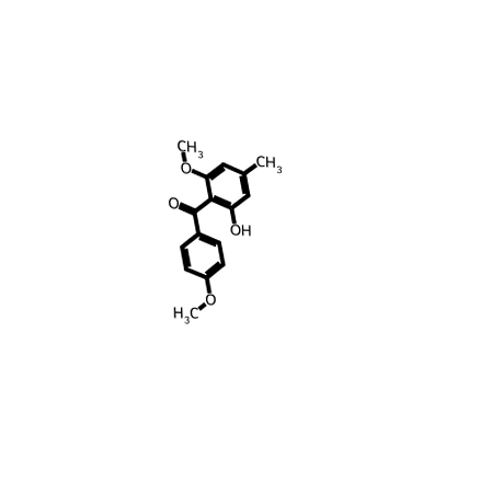 COc1ccc(C(=O)c2c(O)cc(C)cc2OC)cc1